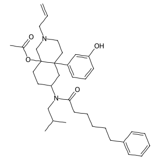 C=CCN1CCC2(c3cccc(O)c3)CC(N(CC(C)C)C(=O)CCCCCc3ccccc3)CCC2(OC(C)=O)C1